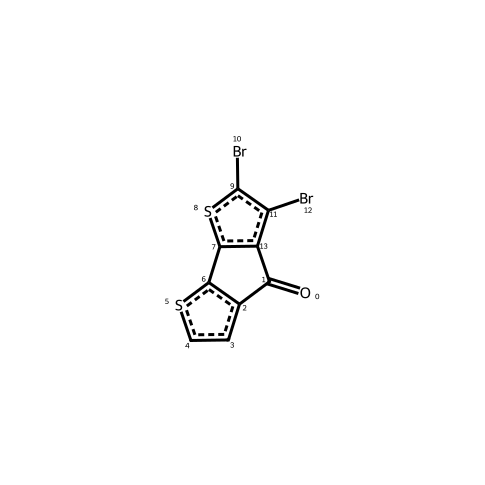 O=C1c2ccsc2-c2sc(Br)c(Br)c21